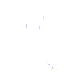 CSN1CCCN(c2ccc(-c3cc4c(c(N5CC=CCC5)n3)=NCCN=4)cc2)CC1